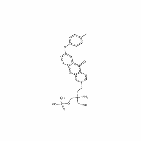 Cc1ccc(Oc2ccc3oc4cc(CCC(N)(CO)COP(=O)(O)O)ccc4c(=O)c3c2)cc1